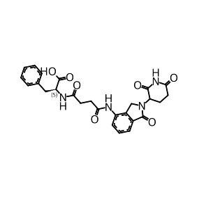 O=C1CCC(N2Cc3c(NC(=O)CCC(=O)N[C@@H](Cc4ccccc4)C(=O)O)cccc3C2=O)C(=O)N1